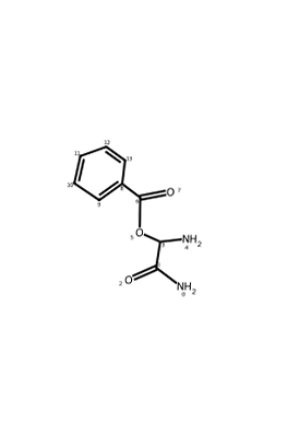 NC(=O)C(N)OC(=O)c1ccccc1